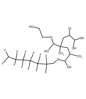 CCC(CC(C)(CC(C)C(O)OCC(F)(F)C(F)(F)C(F)(F)C(F)(F)C(F)(F)C(F)F)C(O)OCCO)C(O)O